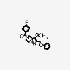 COc1c(COc2ccccc2)nn2c1CN(C(=O)c1ccc(F)cc1)CC2